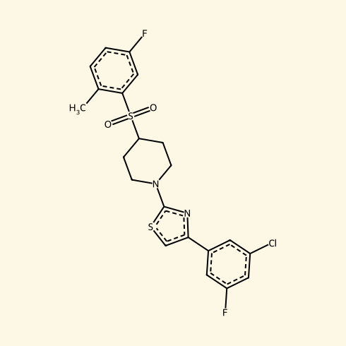 Cc1ccc(F)cc1S(=O)(=O)C1CCN(c2nc(-c3cc(F)cc(Cl)c3)cs2)CC1